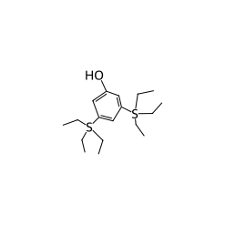 CCS(CC)(CC)c1cc(O)cc(S(CC)(CC)CC)c1